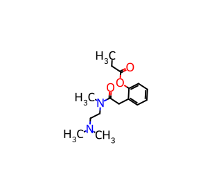 CCC(=O)Oc1ccccc1CC(=O)N(C)CCN(C)C